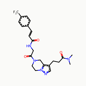 CN(C)C(=O)CCc1cnn2c1CN(C(=O)CNC(=O)/C=C/c1ccc(C(F)(F)F)cc1)CC2